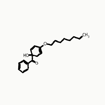 CCCCCCCCOC1=CCC(O)(C(=O)c2ccccc2)C=C1